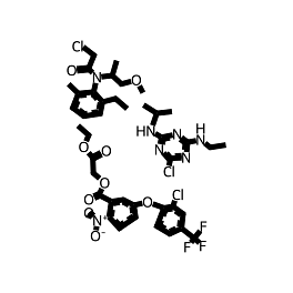 CCNc1nc(Cl)nc(NC(C)C)n1.CCOC(=O)COC(=O)c1cc(Oc2ccc(C(F)(F)F)cc2Cl)ccc1[N+](=O)[O-].CCc1cccc(C)c1N(C(=O)CCl)C(C)COC